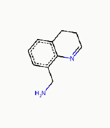 NCc1cccc2c1N=CCC2